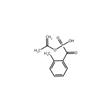 C=C(C)OP(=O)(O)C(=O)c1ccccc1C